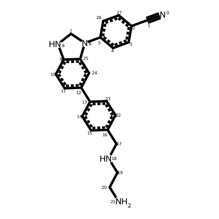 N#Cc1ccc(N2CNc3ccc(-c4ccc(CNCCN)cc4)cc32)cc1